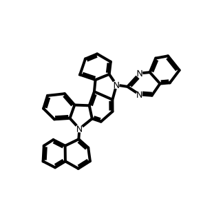 c1ccc2nc(-n3c4ccccc4c4c5c6ccccc6n(-c6cccc7ccccc67)c5ccc43)ncc2c1